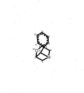 c1ccc([C]2C3CN2CCO3)cc1